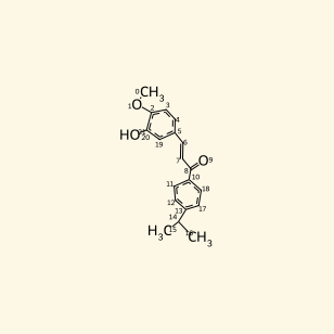 COc1ccc(C=CC(=O)c2ccc(C(C)C)cc2)cc1O